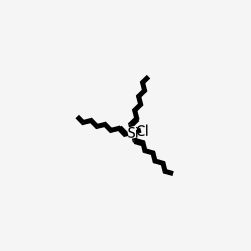 CCCCCCC=C[Si](Cl)(C=CCCCCCC)C=CCCCCCC